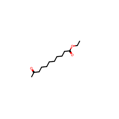 CCOC(=O)CCCCCCCCC(C)=O